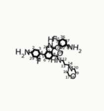 Nc1ccc(-c2ccc(C(=O)NCCCN3CCOCC3)c3c2CNC3=O)c(F)c1.Nc1ccc(F)cc1